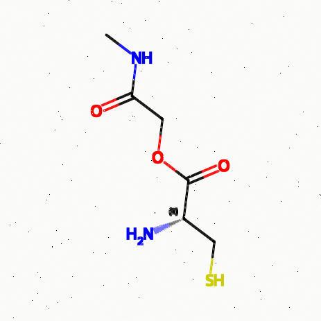 CNC(=O)COC(=O)[C@@H](N)CS